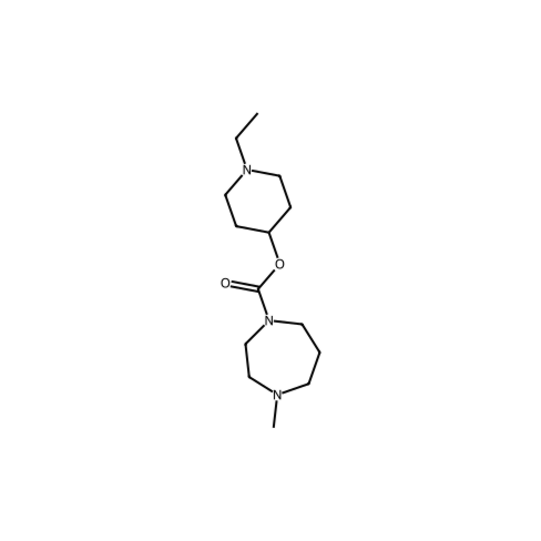 CCN1CCC(OC(=O)N2CCCN(C)CC2)CC1